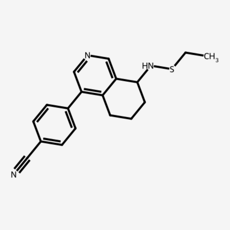 CCSNC1CCCc2c(-c3ccc(C#N)cc3)cncc21